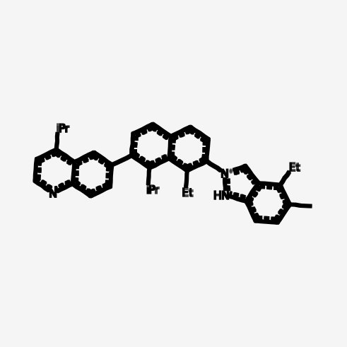 CCc1c(C)ccc2[nH][n+](-c3ccc4ccc(-c5ccc6nccc(C(C)C)c6c5)c(C(C)C)c4c3CC)cc12